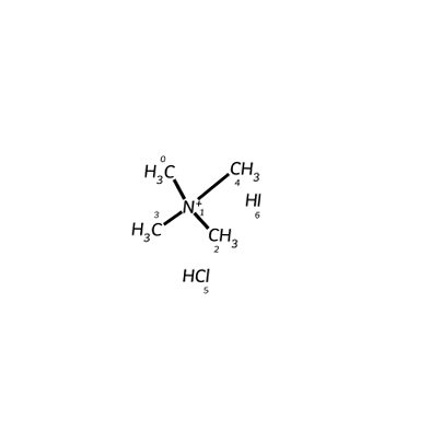 C[N+](C)(C)C.Cl.I